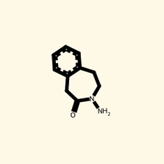 NN1CCc2ccccc2CC1=O